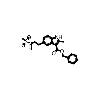 Cc1[nH]c2ccc(CCNS(C)(=O)=O)cc2c1C(=O)OCc1ccccc1